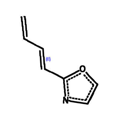 [CH]=C/C=C/c1ncco1